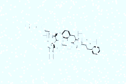 NC(Cc1ccccc1)C(=O)NC(Cc1ccccc1)C(=O)NCC(=O)OC(C(=O)NCCC(=O)O)c1c[nH]cn1